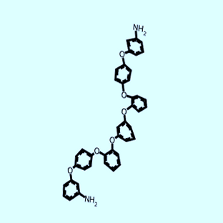 Nc1cccc(Oc2ccc(Oc3ccccc3Oc3cccc(Oc4ccccc4Oc4ccc(Oc5cccc(N)c5)cc4)c3)cc2)c1